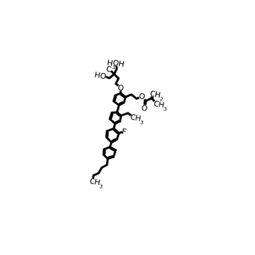 C=C(C)C(=O)OCCc1cc(-c2ccc(-c3ccc(-c4ccc(CCCCC)cc4)cc3F)cc2CC)ccc1OCCC(C)(CO)CO